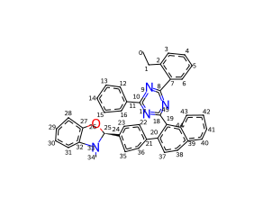 CCc1ccccc1-c1nc(-c2ccccc2)nc(-c2c(-c3ccc([C@@H]4Oc5ccccc5N4C)cc3)ccc3ccccc23)n1